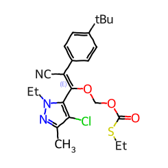 CCSC(=O)OCO/C(=C(/C#N)c1ccc(C(C)(C)C)cc1)c1c(Cl)c(C)nn1CC